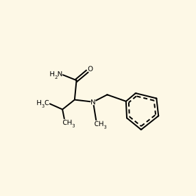 CC(C)C(C(N)=O)N(C)Cc1ccccc1